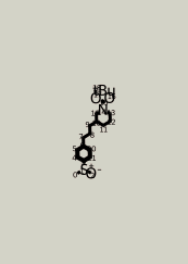 C[S+]([O-])c1ccc(CCCC2CCCN(C(=O)OC(C)(C)C)C2)cc1